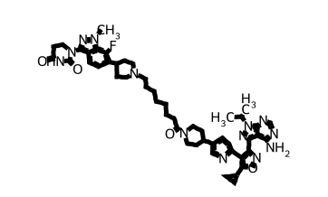 CC(C)n1nc(-c2noc(C3CC3)c2-c2ccc(C3CCN(C(=O)CCCCCCCN4CCC(c5ccc6c(N7CCC(=O)NC7=O)nn(C)c6c5F)CC4)CC3)cn2)c2c(N)ncnc21